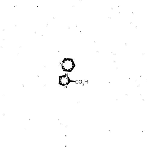 O=C(O)c1nccs1.c1ccncc1